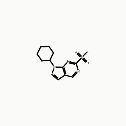 CS(=O)(=O)c1ncc2cnn(C3CCCCC3)c2n1